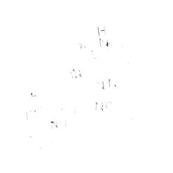 N#C[C@H]1CCCCC[C@@H]1n1nc(Nc2ccc3c(c2)C(F)(F)C32CCCCN2)c2c(=O)[nH]ccc21